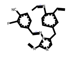 C=Cc1cc(Cc2cnc(N=C)n2/N=C/c2ccc(C#N)c(F)c2)ccc1/N=C\C